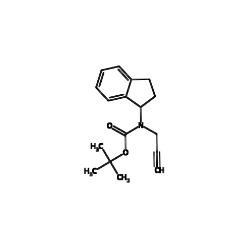 C#CCN(C(=O)OC(C)(C)C)C1CCc2ccccc21